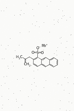 C=C(C)Cc1ccc2cc3ccccc3cc2c1S(=O)(=O)[O-].[Rb+]